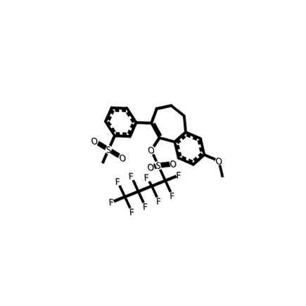 COc1ccc2c(c1)CCCC(c1cccc(S(C)(=O)=O)c1)=C2OS(=O)(=O)C(F)(F)C(F)(F)C(F)(F)C(F)(F)F